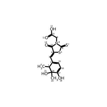 CC1C(/C=C2\SC(=S)N(CC(=O)O)C2=O)=CC=C(O)C1(C)O